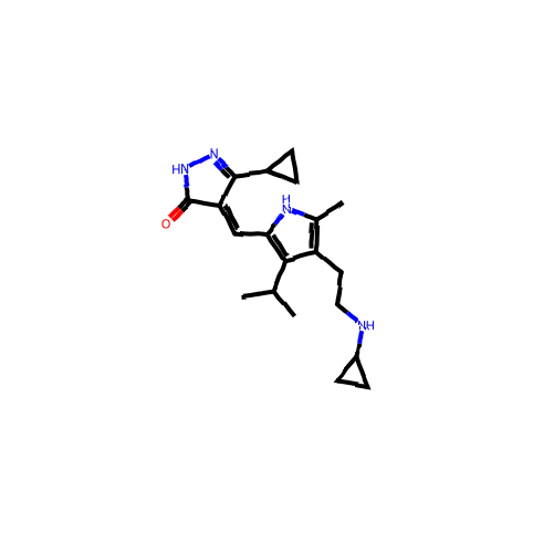 Cc1[nH]c(/C=C2/C(=O)NN=C2C2CC2)c(C(C)C)c1CCNC1CC1